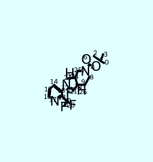 CC(C)(C)OC(=O)N1CC[C@@H]2CN(c3cccnc3C(F)(F)F)C[C@@H]2C1